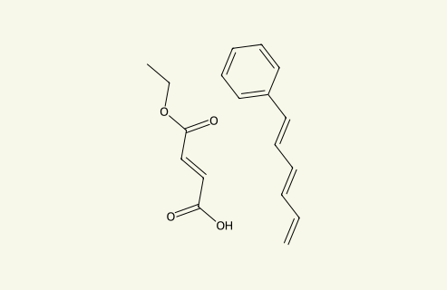 C=CC=CC=Cc1ccccc1.CCOC(=O)C=CC(=O)O